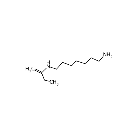 C=C(CC)NCCCCCCCN